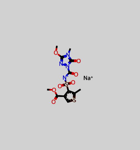 COC(=O)c1csc(C)c1S(=O)(=O)[N-]C(=O)n1nc(OC)n(C)c1=O.[Na+]